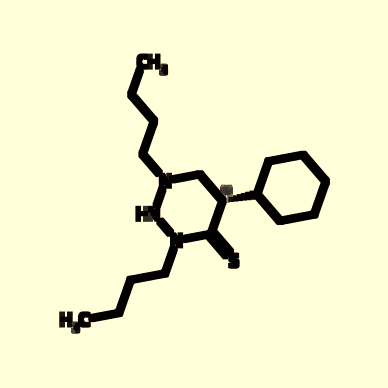 CCCCN1C[C@H](C2CCCCC2)C(=S)N(CCCC)N1